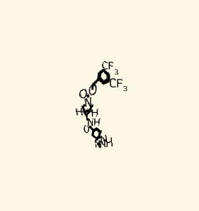 O=C(NCC1[C@H]2CN(C(=O)OCc3cc(C(F)(F)F)cc(C(F)(F)F)c3)C[C@@H]12)c1ccc2n[nH]nc2c1